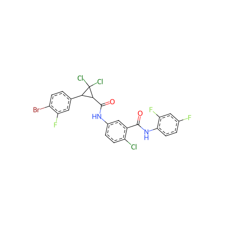 O=C(Nc1ccc(F)cc1F)c1cc(NC(=O)C2C(c3ccc(Br)c(F)c3)C2(Cl)Cl)ccc1Cl